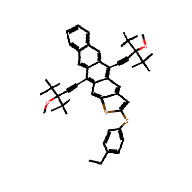 CCc1ccc(Sc2cc3cc4c(C#CC(OC)(C(C)(C)C)C(C)(C)C)c5cc6ccccc6cc5c(C#CC(OC)(C(C)(C)C)C(C)(C)C)c4cc3s2)cc1